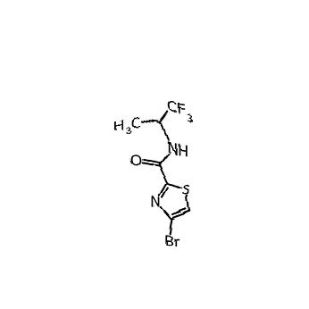 CC(NC(=O)c1nc(Br)cs1)C(F)(F)F